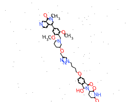 COc1cc(-c2cn(C)c(=O)c3cnccc23)cc(OC)c1CN1CCCC(OCc2cn(CCCCOc3ccc4c(c3)C(=O)N(C3CCC(=O)NC3=O)C4O)nn2)C1